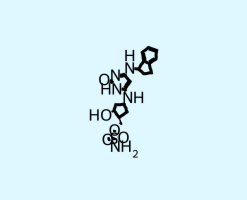 NS(=O)(=O)OC[C@@H]1C[C@@H](Nc2cc(NC3CCc4ccccc43)nc(=O)[nH]2)C[C@@H]1O